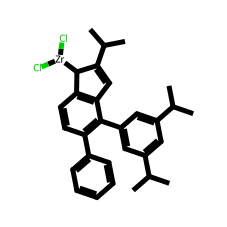 CC(C)C1=Cc2c(ccc(-c3ccccc3)c2-c2cc(C(C)C)cc(C(C)C)c2)[CH]1[Zr]([Cl])[Cl]